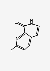 O=c1[nH]ccc2ccc(I)nc12